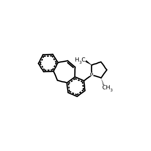 C[C@H]1CC[C@H](C)P1c1cccc2c1C=Cc1ccccc1C2